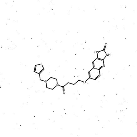 O=C(CCCOc1ccc2nc3[nH]c(=O)[nH]c3cc2c1)N1CCN(Cc2ccsc2)CC1